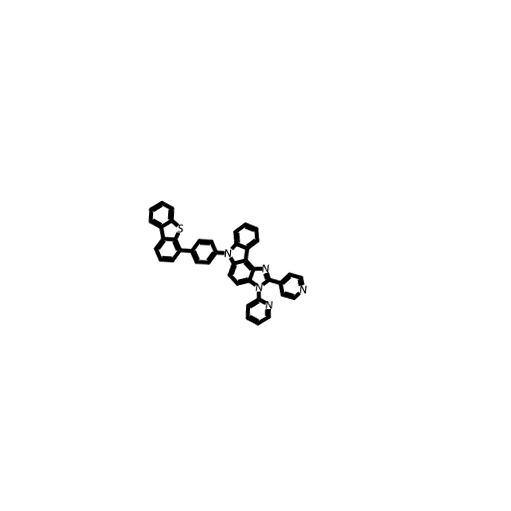 c1ccc(-n2c(-c3ccncc3)nc3c4c5ccccc5n(-c5ccc(-c6cccc7c6sc6ccccc67)cc5)c4ccc32)nc1